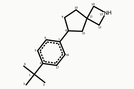 CC(C)(C)c1ccc(C2CCC3(CNC3)C2)cc1